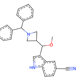 COC(c1c[nH]c2ccc(C#N)cc12)C1CN(C(c2ccccc2)c2ccccc2)C1